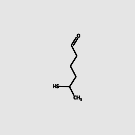 CC(S)CCCC=O